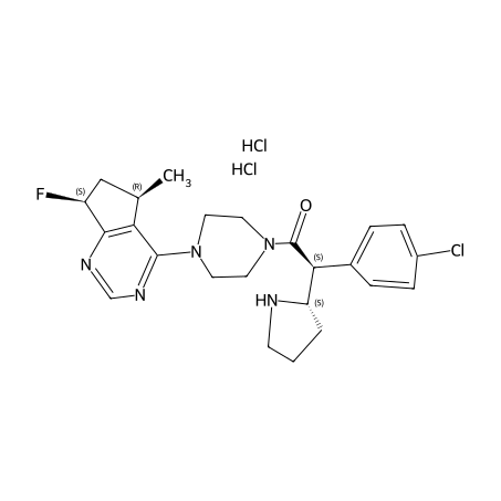 C[C@@H]1C[C@H](F)c2ncnc(N3CCN(C(=O)[C@@H](c4ccc(Cl)cc4)[C@@H]4CCCN4)CC3)c21.Cl.Cl